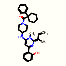 B/C(C=C)=C1\N=C(c2ccccc2O)C=C(NC2CCN(C(=O)C3(c4ccccc4)CCCCC3)CC2)N1C